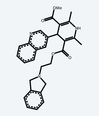 COC(=O)C1=C(C)NC(C)=C(C(=O)OCCN2Cc3ccccc3C2)C1c1cnc2ccccc2c1